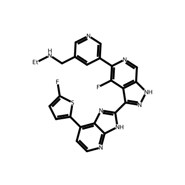 CCNCc1cncc(-c2ncc3[nH]nc(-c4nc5c(-c6ccc(F)s6)ccnc5[nH]4)c3c2F)c1